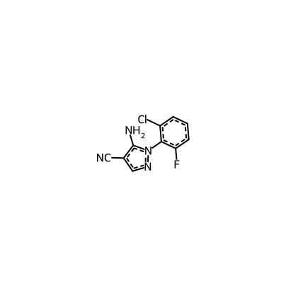 N#Cc1cnn(-c2c(F)cccc2Cl)c1N